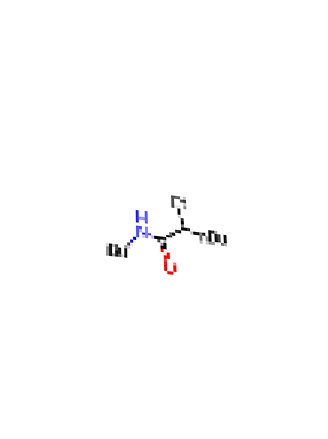 CCCC[C](CC)C(=O)NC(C)CC